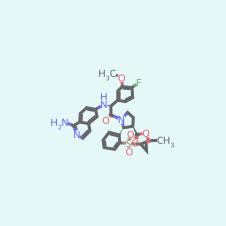 CCOC(=O)[C@@H]1CCN(C(=O)[C@H](Nc2ccc3c(N)nccc3c2)c2ccc(F)c(OC)c2)[C@H]1c1ccccc1S(=O)(=O)C1CC1